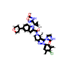 Cc1cc(-n2nc3c(c2-n2cc[nH]c2=O)[C@H](C)N(C(=O)c2cc4cc(C5CCOCC5)ccc4n2[C@@]2(c4noc(=O)[nH]4)C[C@@H]2C)CC3)cc(C)c1Cl